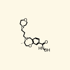 C[C@H]1COc2cc(C(=O)NO)ccc2CN1CCCN1CCOCC1